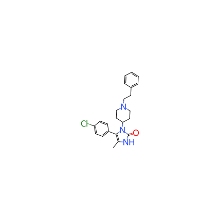 Cc1[nH]c(=O)n(C2CCN(CCc3ccccc3)CC2)c1-c1ccc(Cl)cc1